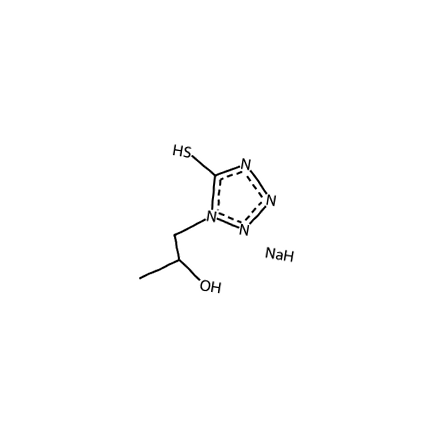 CC(O)Cn1nnnc1S.[NaH]